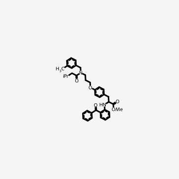 COC(=O)C(Cc1ccc(OCCCN(Cc2cccc(C)c2)C(=O)CC(C)C)cc1)Nc1ccccc1C(=O)c1ccccc1